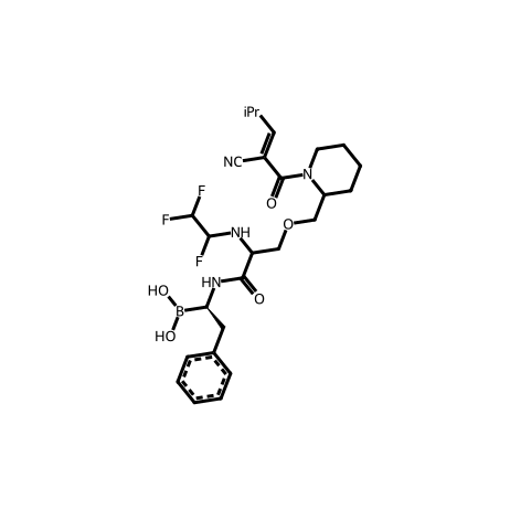 CC(C)C=C(C#N)C(=O)N1CCCCC1COCC(NC(F)C(F)F)C(=O)N[C@@H](Cc1ccccc1)B(O)O